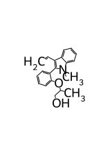 C=Cc1c(-c2ccccc2OC(C)CO)n(C)c2ccccc12